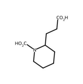 O=C(O)CCC1CCCCN1C(=O)O